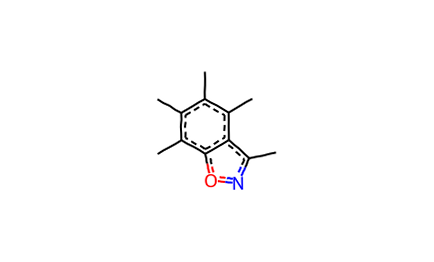 Cc1c(C)c(C)c2c(C)noc2c1C